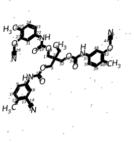 CCC(COC(=O)Nc1ccc(C)c(C#N)c1)(COC(=O)Nc1ccc(C)c(OC#N)c1)COC(=O)Nc1ccc(C)c(OC#N)c1